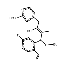 C=Cc1ccc(F)cc1C(OC(C)CC)C(C)=C(O)Cc1cccc(C(=O)O)c1